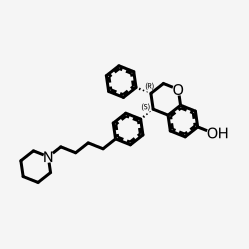 Oc1ccc2c(c1)OC[C@@H](c1ccccc1)[C@H]2c1ccc(CCCCN2CCCCC2)cc1